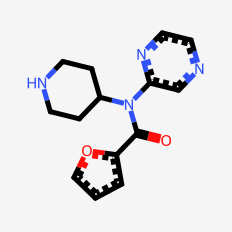 O=C(c1ccco1)N(c1cnccn1)C1CCNCC1